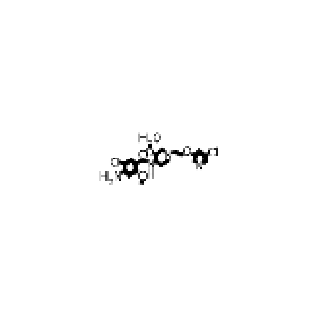 COc1cc(N)c(Cl)cc1C(=O)N[C@@H]1CCN(CCOc2cncc(Cl)c2)C[C@@H]1OC.O